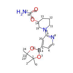 CC1(C)OB(c2ccnc(N3CCCC(OC(N)=O)C3)c2)OC1(C)C